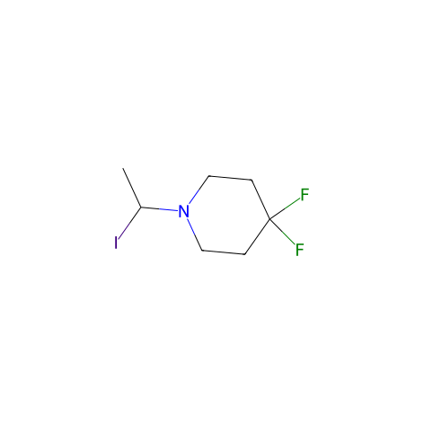 CC(I)N1CCC(F)(F)CC1